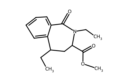 CCC1CC(C(=O)OC)N(CC)C(=O)c2ccccc21